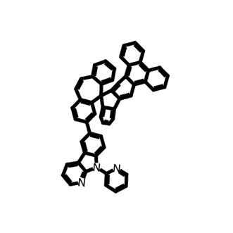 C1=Cc2ccc(-c3ccc4c(c3)c3cccnc3n4-c3ccccn3)cc2C2(c3ccccc31)c1ccccc1-c1cc3c4ccccc4c4ccccc4c3cc12